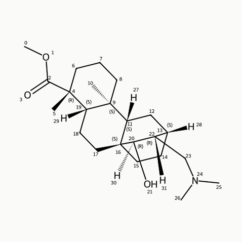 COC(=O)[C@]1(C)CCC[C@@]2(C)[C@@H]3C[C@@H]4CC[C@@]3(CC[C@@H]21)[C@H](O)[C@H]4CN(C)C